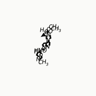 Cc1cn2cc(NC(=O)N3CCc4c(N5CCN(C(=O)OC(C)(C)C)[C@H](C6CC6)C5)ccnc43)c(F)cc2n1